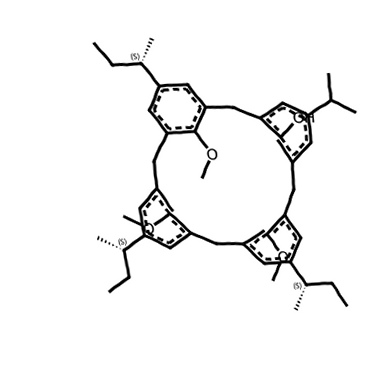 CC[C@H](C)c1cc2c(OC)c(c1)Cc1cc([C@@H](C)CC)cc(c1OC)Cc1cc([C@@H](C)CC)cc(c1OC)Cc1cc(C(C)C)cc(c1O)C2